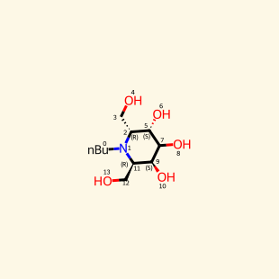 CCCCN1[C@H](CO)[C@H](O)C(O)[C@@H](O)[C@H]1CO